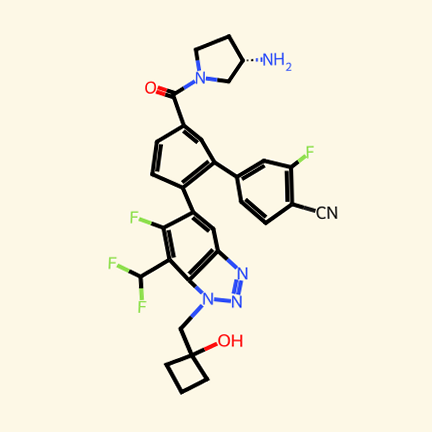 N#Cc1ccc(-c2cc(C(=O)N3CC[C@H](N)C3)ccc2-c2cc3nnn(CC4(O)CCC4)c3c(C(F)F)c2F)cc1F